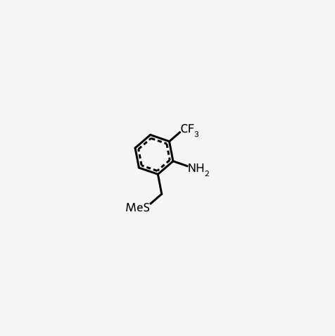 CSCc1cccc(C(F)(F)F)c1N